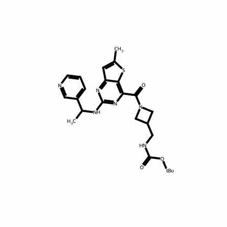 Cc1cc2nc(NC(C)c3cccnc3)nc(C(=O)N3CC(CNC(=O)OC(C)(C)C)C3)c2s1